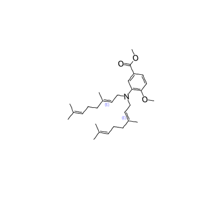 COC(=O)c1ccc(OC)c(N(C/C=C(\C)CCC=C(C)C)C/C=C(\C)CCC=C(C)C)c1